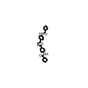 O=C(Nc1ccc(-c2nnc(-c3ccc(NC(=O)c4ccccc4)cc3)o2)cc1)c1ccccc1